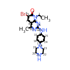 CCn1c(=O)c(Br)cc2c(C)nc(Nc3ccc(N4CCNCC4)cc3)nc21